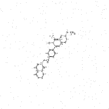 CNC(=O)C(=Cc1ccc(OC)cc1)c1ccc(OCc2ccc3ccccc3n2)cc1